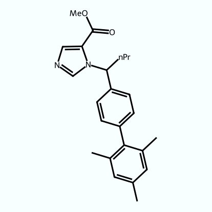 CCCC(c1ccc(-c2c(C)cc(C)cc2C)cc1)n1cncc1C(=O)OC